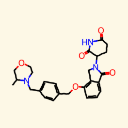 CC1COCCN1Cc1ccc(COc2cccc3c2CN(C2CCC(=O)NC2=O)C3=O)cc1